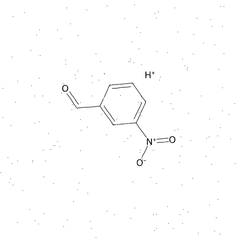 O=Cc1cccc([N+](=O)[O-])c1.[H+]